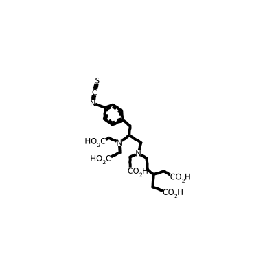 O=C(O)CC(CCN(CC(=O)O)CC(Cc1ccc(N=C=S)cc1)N(CC(=O)O)CC(=O)O)CC(=O)O